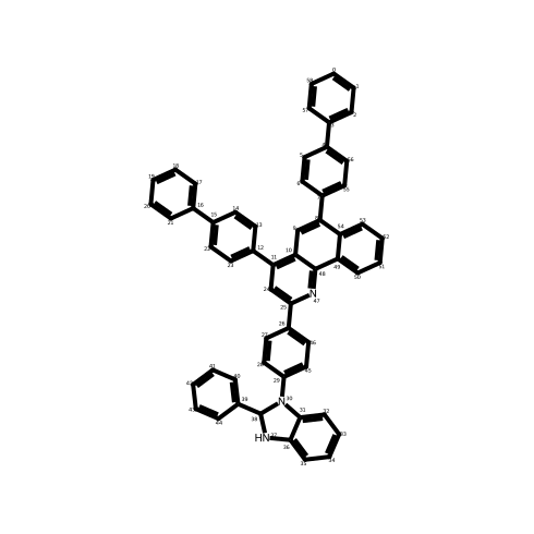 c1ccc(-c2ccc(-c3cc4c(-c5ccc(-c6ccccc6)cc5)cc(-c5ccc(N6c7ccccc7NC6c6ccccc6)cc5)nc4c4ccccc34)cc2)cc1